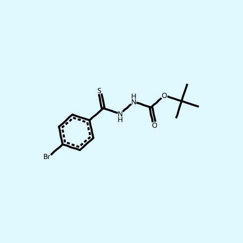 CC(C)(C)OC(=O)NNC(=S)c1ccc(Br)cc1